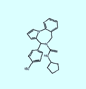 C=C(NC1CCCC1)N1Cc2ccccc2-n2cccc2C1c1ccc(C(C)(C)C)cc1